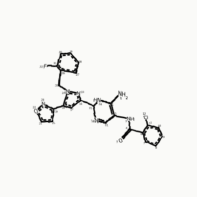 NC1=C(NC(=O)c2ccccc2Cl)C=NC(c2cc(-c3ccon3)n(Cc3ccccc3F)n2)N1